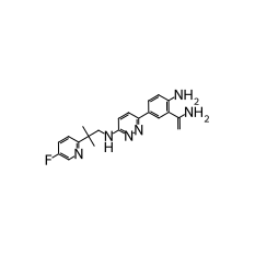 C=C(N)c1cc(-c2ccc(NCC(C)(C)c3ccc(F)cn3)nn2)ccc1N